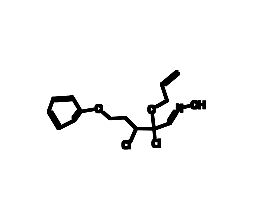 C=CCOC(Cl)(C=NO)C(Cl)CCOc1ccccc1